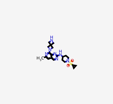 Cc1cc2cnc(NC3CCN(S(=O)(=O)C4CC4)CC3)nc2c(N2CC3(CNC3)C2)n1